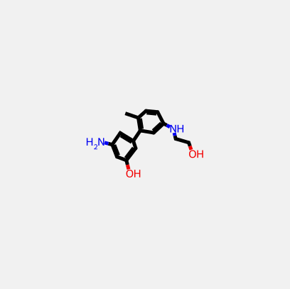 Cc1ccc(NCCO)cc1-c1cc(N)cc(O)c1